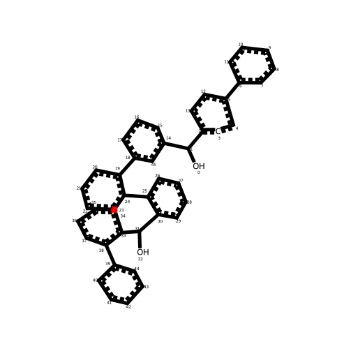 OC(c1ccc(-c2ccccc2)cc1)c1cccc(-c2ccccc2-c2ccccc2C(O)c2ccccc2-c2ccccc2)c1